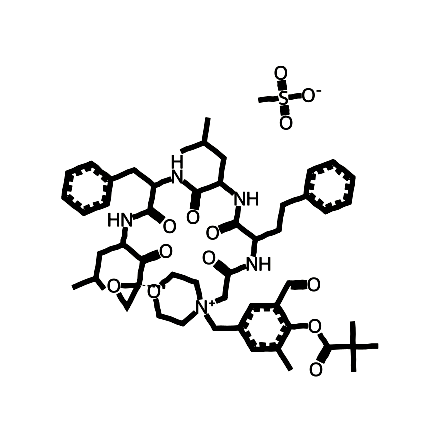 CS(=O)(=O)[O-].Cc1cc(C[N+]2(CC(=O)NC(CCc3ccccc3)C(=O)NC(CC(C)C)C(=O)NC(Cc3ccccc3)C(=O)NC(CC(C)C)C(=O)[C@@]3(C)CO3)CCOCC2)cc(C=O)c1OC(=O)C(C)(C)C